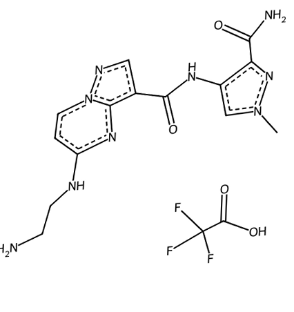 Cn1cc(NC(=O)c2cnn3ccc(NCCN)nc23)c(C(N)=O)n1.O=C(O)C(F)(F)F